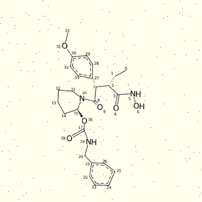 CC[C@H](C(=O)NO)[C@H](C(=O)N1CCCC[C@@H]1OC(=O)NCc1ccccc1)c1ccc(OC)cc1